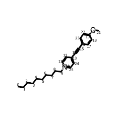 CCCCCCCCCC[n+]1ccc(C#Cc2ccc(OC)cc2)cc1